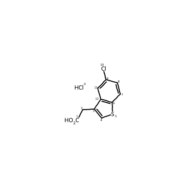 Cl.O=C(O)Cc1csc2ccc(Cl)cc12